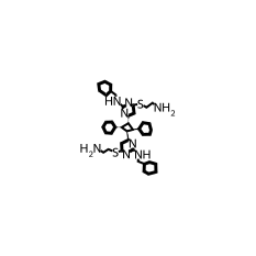 NCCSc1cc([C@H]2[C@H](c3ccccc3)[C@H](c3cc(SCCN)nc(NCc4ccccc4)n3)[C@H]2c2ccccc2)nc(NCc2ccccc2)n1